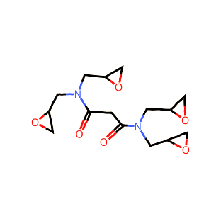 O=C(CC(=O)N(CC1CO1)CC1CO1)N(CC1CO1)CC1CO1